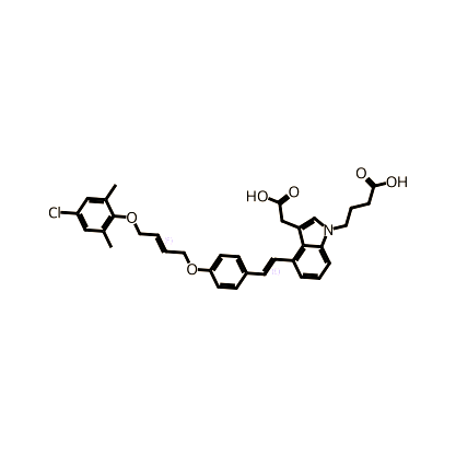 Cc1cc(Cl)cc(C)c1OC/C=C/COc1ccc(/C=C/c2cccc3c2c(CC(=O)O)cn3CCCC(=O)O)cc1